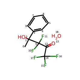 CC(O)(c1ccccc1)C(F)(F)C(=O)C(F)(F)F.O